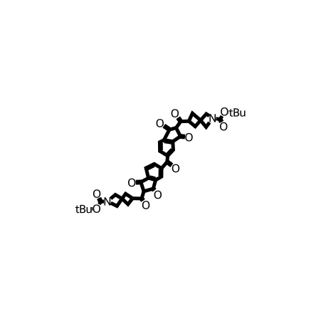 CC(C)(C)OC(=O)N1CC2(CC(C(=O)C3C(=O)c4ccc(C(=O)c5ccc6c(c5)C(=O)C(C(=O)C5CC7(C5)CN(C(=O)OC(C)(C)C)C7)C6=O)cc4C3=O)C2)C1